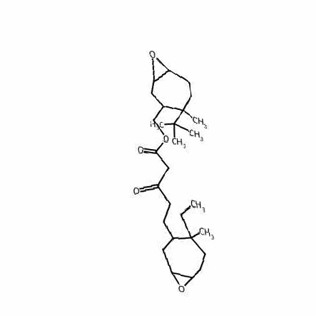 CCC1(C)CCC2OC2CC1CCC(=O)CC(=O)OCC1CC2OC2CCC1(C)C(C)(C)C